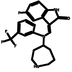 O=C1Nc2ccc(F)cc2/C1=C\N(c1cccc(C(F)(F)F)c1)C1CCCNCC1